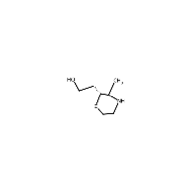 CC1NCCO[C@@H]1CCO